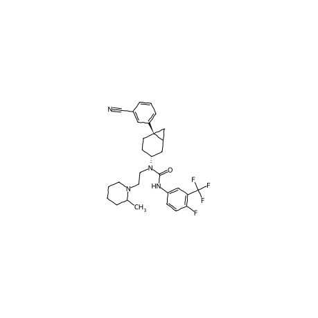 CC1CCCCN1CCN(C(=O)Nc1ccc(F)c(C(F)(F)F)c1)[C@@H]1CC[C@]2(c3cccc(C#N)c3)CC2C1